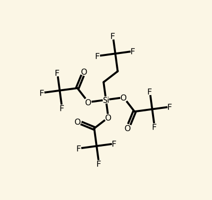 O=C(O[Si](CCC(F)(F)F)(OC(=O)C(F)(F)F)OC(=O)C(F)(F)F)C(F)(F)F